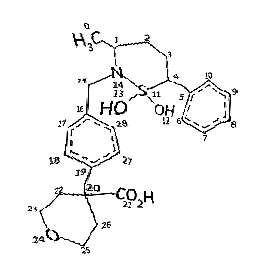 CC1CCC(c2ccccc2)S(O)(O)N1Cc1ccc(C2(C(=O)O)CCOCC2)cc1